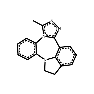 Cc1nnc2n1-c1ccccc1N1CCc3cccc-2c31